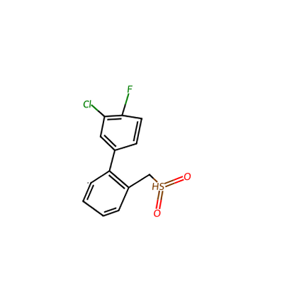 O=[SH](=O)Cc1ccc[c]c1-c1ccc(F)c(Cl)c1